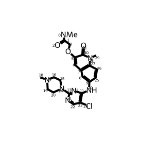 CNC(=O)COc1cc2cc(Nc3nc(N4CCN(C)CC4)ncc3Cl)ccc2n(C)c1=O